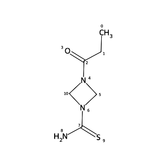 CCC(=O)N1CN(C(N)=S)C1